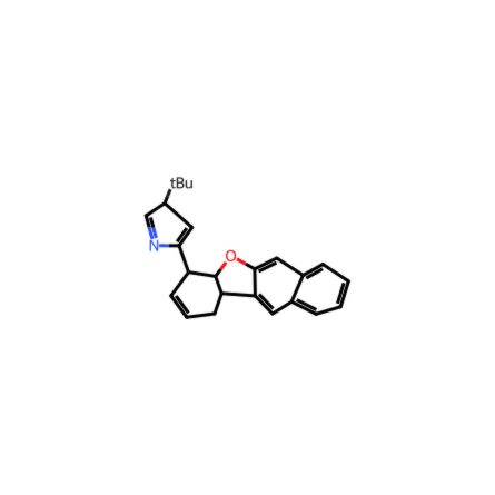 CC(C)(C)C1C=NC(C2C=CCC3c4cc5ccccc5cc4OC23)=C1